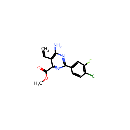 C=Cc1c(N)nc(-c2ccc(Cl)c(F)c2)nc1C(=O)OC